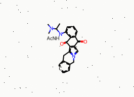 CC(=O)NN(c1cccc2c1C(=O)c1c(cn3c1Cc1ccccc1C3)C2=O)C(C)N(C)C